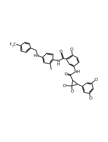 Cc1cc(NCc2ccc(C(F)(F)F)cc2)ccc1NC(=O)c1cc(NC(=O)C2C(c3cc(Cl)cc(Cl)c3)C2(Cl)Cl)ccc1Cl